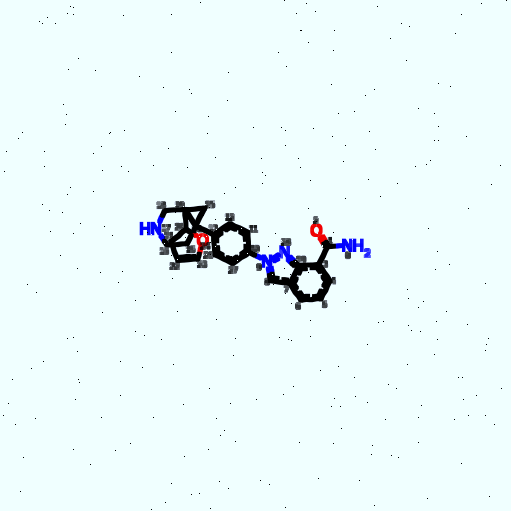 NC(=O)c1cccc2cn(-c3ccc(C45CCNCC4(C4CC=CO4)C5)cc3)nc12